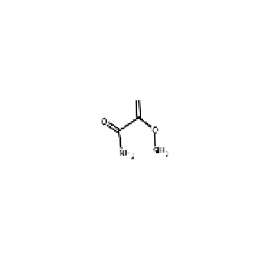 C=C(O[SiH3])C(N)=O